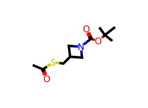 CC(=O)SCC1CN(C(=O)OC(C)(C)C)C1